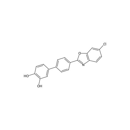 Oc1ccc(-c2ccc(-c3nc4ccc(Cl)cc4o3)cc2)cc1O